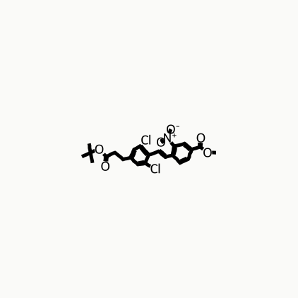 COC(=O)c1ccc(C=Cc2c(Cl)cc(CCC(=O)OC(C)(C)C)cc2Cl)c([N+](=O)[O-])c1